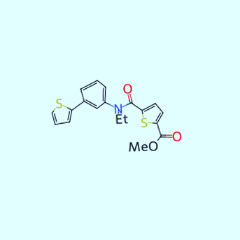 CCN(C(=O)c1ccc(C(=O)OC)s1)c1cccc(-c2cccs2)c1